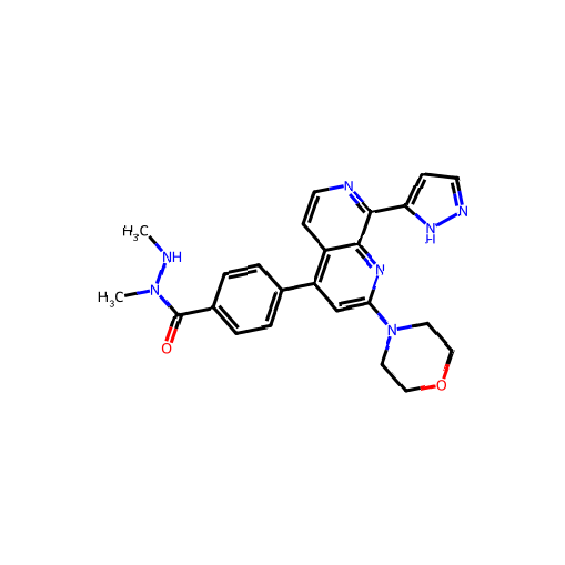 CNN(C)C(=O)c1ccc(-c2cc(N3CCOCC3)nc3c(-c4ccn[nH]4)nccc23)cc1